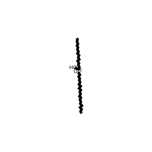 CCCCCCCCCCCCCCCCCCCCCCOC(CCCCCCCCCCCCCCCC)C(=O)O